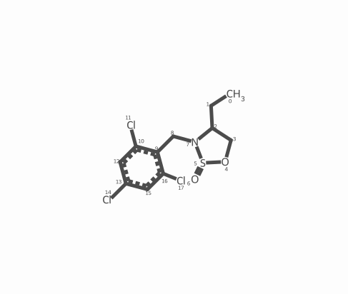 CCC1COS(=O)N1Cc1c(Cl)cc(Cl)cc1Cl